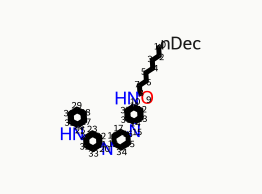 CCCCCCCCCCCCCCCCCC(=O)Nc1ccc(N=C2C=CC(=Nc3ccc(Nc4ccccc4)cc3)C=C2)cc1